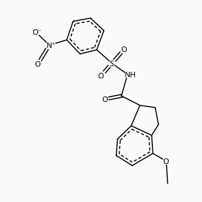 COc1cccc2c1CCC2C(=O)NS(=O)(=O)c1cccc([N+](=O)[O-])c1